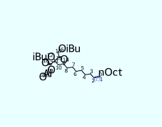 CCCCCCCC/C=C\CCCCCCCCC(OCC(C)C)(C(=O)COCC(C)C)C(=O)[O][Al]=[O]